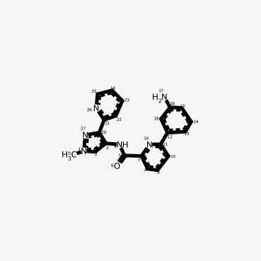 Cn1cc(NC(=O)c2cccc(-c3cccc(N)c3)n2)c(-c2ccccn2)n1